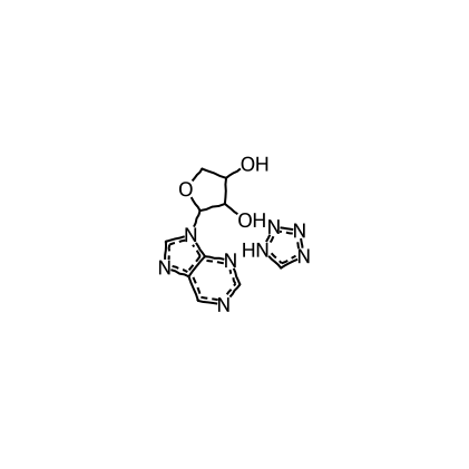 OC1COC(n2cnc3cncnc32)C1O.c1nnn[nH]1